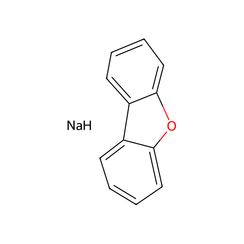 [NaH].c1ccc2c(c1)oc1ccccc12